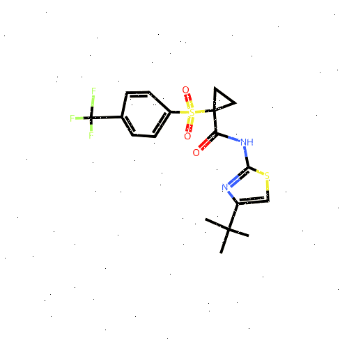 CC(C)(C)c1csc(NC(=O)C2(S(=O)(=O)c3ccc(C(F)(F)F)cc3)CC2)n1